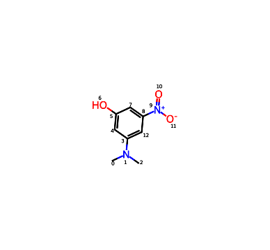 CN(C)c1cc(O)cc([N+](=O)[O-])c1